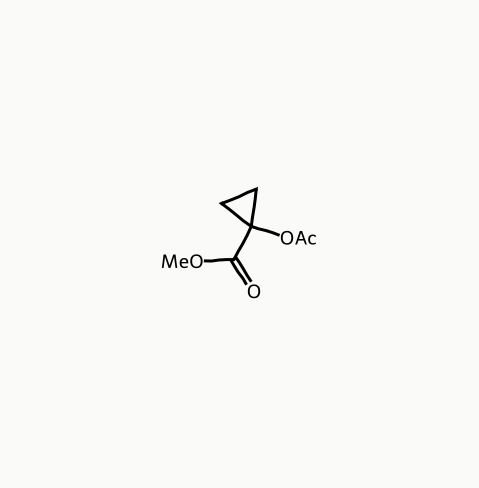 COC(=O)C1(OC(C)=O)CC1